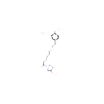 COc1ccc(CCOCCCCCC(C)N2CCC(O)C2)cc1OC